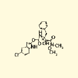 CON(C)C(=O)[C@H](O)[C@H](Cc1ccccc1)NC(=O)Oc1cc2cc(Cl)ccc2[nH]1